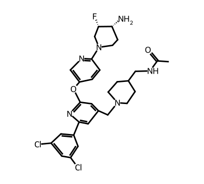 CC(=O)NCC1CCN(Cc2cc(Oc3ccc(N4CC[C@@H](N)[C@@H](F)C4)nc3)nc(-c3cc(Cl)cc(Cl)c3)c2)CC1